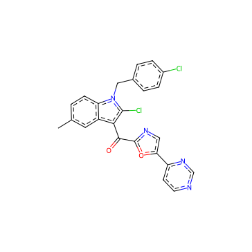 Cc1ccc2c(c1)c(C(=O)c1ncc(-c3ccncn3)o1)c(Cl)n2Cc1ccc(Cl)cc1